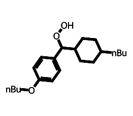 CCCCOc1ccc(C(OO)C2CCC(CCCC)CC2)cc1